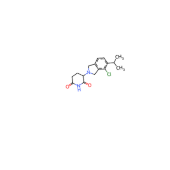 CC(C)c1ccc2c(c1Cl)CN(C1CCC(=O)NC1=O)C2